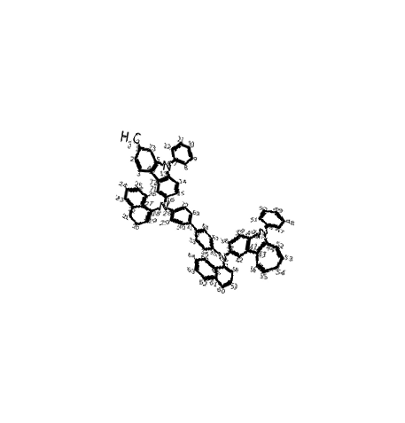 CC1C=Cc2c(n(-c3ccccc3)c3ccc(N(C4=CCCc5ccccc54)c4ccc(-c5ccc(N(c6ccc7c(c6)c6c(n7-c7ccccc7)C=CCC=C6)c6cccc7ccccc67)cc5)cc4)cc23)C1